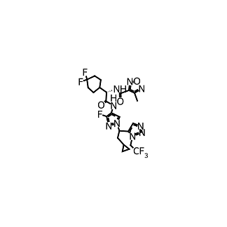 Cc1nonc1C(=O)N[C@H](C(=O)Nc1cn(C(CC2CC2)c2cnnn2CC(F)(F)F)nc1F)C1CCC(F)(F)CC1